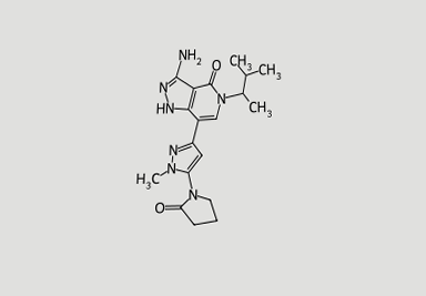 CC(C)C(C)n1cc(-c2cc(N3CCCC3=O)n(C)n2)c2[nH]nc(N)c2c1=O